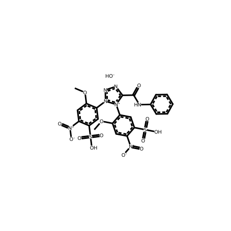 COc1cc([N+](=O)[O-])c(S(=O)(=O)O)cc1-n1nnc(C(=O)Nc2ccccc2)[n+]1-c1cc(S(=O)(=O)O)c([N+](=O)[O-])cc1OC.[OH-]